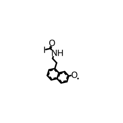 COc1ccc2cccc(CCNC(=O)I)c2c1